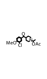 COc1ccc(C(=O)C2CCN(C(C)OC(C)=O)CC2)cc1Cl